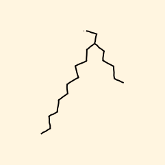 [CH2]CC(CCCCC)CCCCCCCCCCC